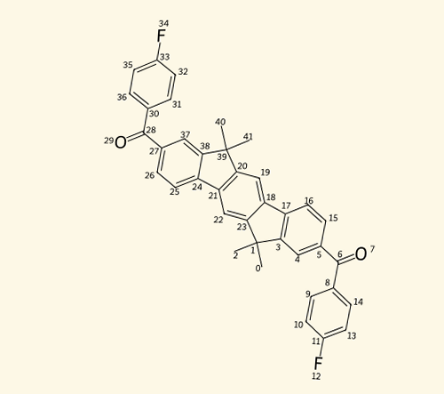 CC1(C)c2cc(C(=O)c3ccc(F)cc3)ccc2-c2cc3c(cc21)-c1ccc(C(=O)c2ccc(F)cc2)cc1C3(C)C